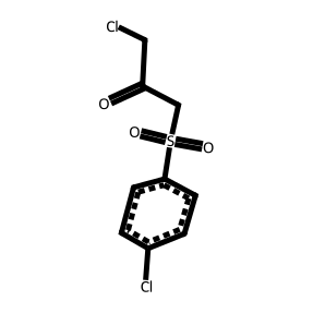 O=C(CCl)CS(=O)(=O)c1ccc(Cl)cc1